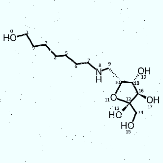 OCCCCCCCNC[C@H]1O[C@@](O)(CO)[C@H](O)[C@H]1O